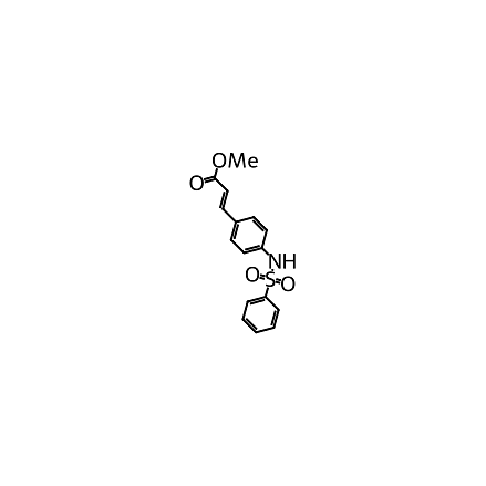 COC(=O)/C=C/c1ccc(NS(=O)(=O)c2ccccc2)cc1